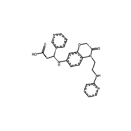 O=C(O)CC(Nc1ccc2c(c1)OCC(=O)N2CCNc1ccccn1)c1cccnc1